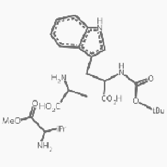 CC(C)(C)OC(=O)NC(Cc1c[nH]c2ccccc12)C(=O)O.CC(N)C(=O)O.COC(=O)C(N)C(C)C